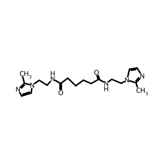 Cc1nccn1CCNC(=O)CCCCC(=O)NCCn1ccnc1C